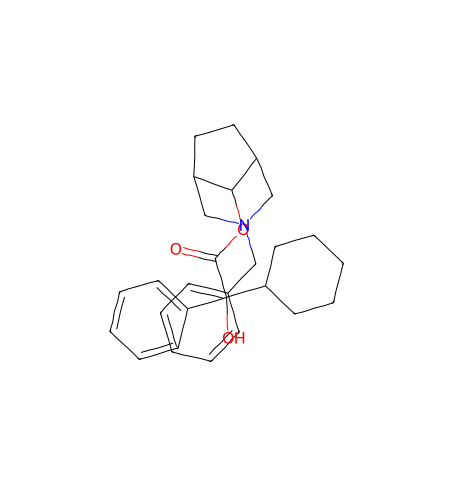 O=C(OC1C2CCC1CN(Cc1ccccc1)C2)C(O)(c1ccccc1)C1CCCCC1